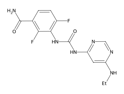 CCNc1cc(NC(=O)Nc2c(F)ccc(C(N)=O)c2F)ncn1